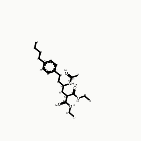 CCCCc1ccc(CCC(CC(C(=O)OCC)C(=O)OCC)NC(C)=O)cc1